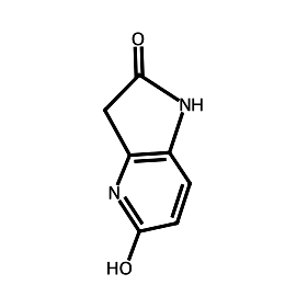 O=C1Cc2nc(O)ccc2N1